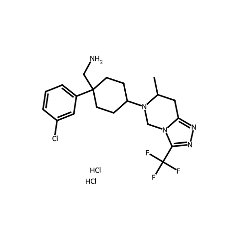 CC1Cc2nnc(C(F)(F)F)n2CN1C1CCC(CN)(c2cccc(Cl)c2)CC1.Cl.Cl